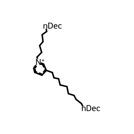 CCCCCCCCCCCCCCCCCCCc1ccc[n+](CCCCCCCCCCCCCCCC)c1